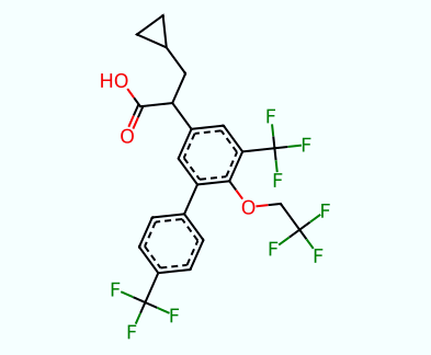 O=C(O)C(CC1CC1)c1cc(-c2ccc(C(F)(F)F)cc2)c(OCC(F)(F)F)c(C(F)(F)F)c1